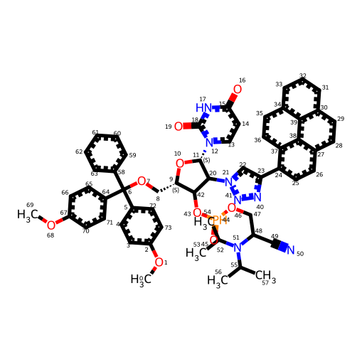 COc1ccc(C(OC[C@@H]2O[C@H](n3ccc(=O)[nH]c3=O)C(n3cc(-c4ccc5ccc6cccc7ccc4c5c67)nn3)C2O[PH](=O)OCC(C#N)N(C(C)C)C(C)C)(c2ccccc2)c2ccc(OC)cc2)cc1